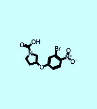 O=C(O)N1CCC(Oc2ccc([N+](=O)[O-])c(Br)c2)C1